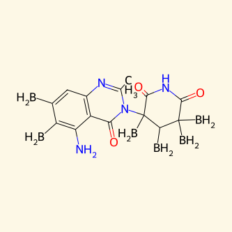 Bc1cc2nc(C)n(C3(B)C(=O)NC(=O)C(B)(B)C3B)c(=O)c2c(N)c1B